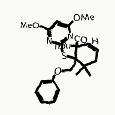 CCCCC1(C(=O)O)C=CCC(C)(C)C1(COc1ccccc1)Sc1nc(OC)cc(OC)n1